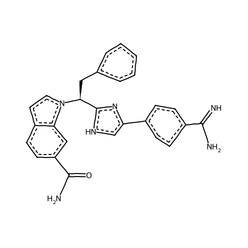 N=C(N)c1ccc(-c2c[nH]c([C@H](Cc3ccccc3)n3ccc4ccc(C(N)=O)cc43)n2)cc1